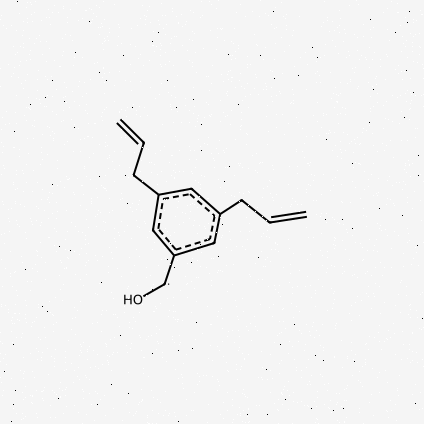 C=CCc1cc([CH]O)cc(CC=C)c1